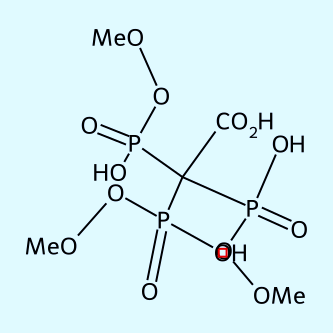 COOP(=O)(O)C(C(=O)O)(P(=O)(O)OOC)P(=O)(O)OOC